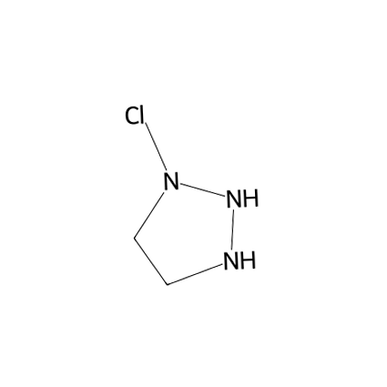 ClN1CCNN1